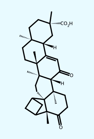 C[C@]1(C(=O)O)CC[C@]2(C)CC[C@]3(C)C(=CC(=O)[C@@H]4[C@@]5(C)CCC(=O)[C@]6(C)C7CC(C7)[C@]65CC[C@]43C)[C@H]2C1